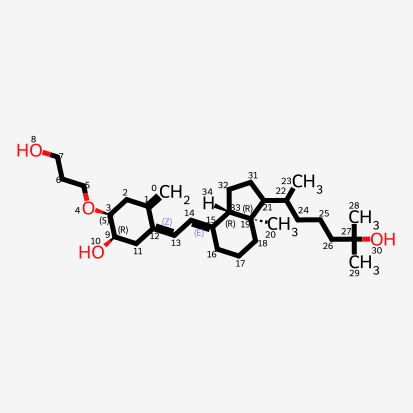 C=C1C[C@H](OCCCO)[C@H](O)C/C1=C/C=C1\CCC[C@]2(C)C(C(C)CCCC(C)(C)O)CC[C@@H]12